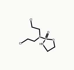 O=P1(N(CCCl)CCCl)NCCO1